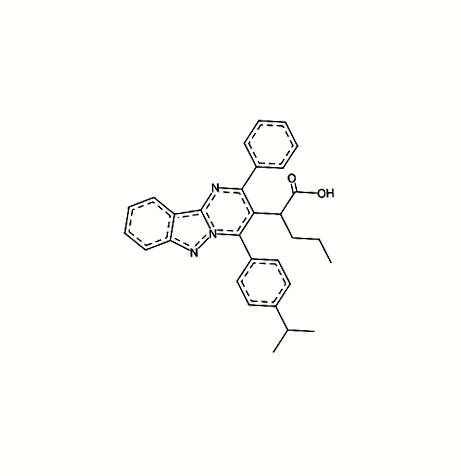 CCCC(C(=O)O)c1c(-c2ccccc2)nc2c3ccccc3nn2c1-c1ccc(C(C)C)cc1